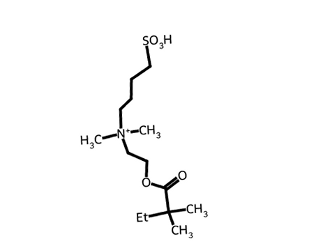 CCC(C)(C)C(=O)OCC[N+](C)(C)CCCCS(=O)(=O)O